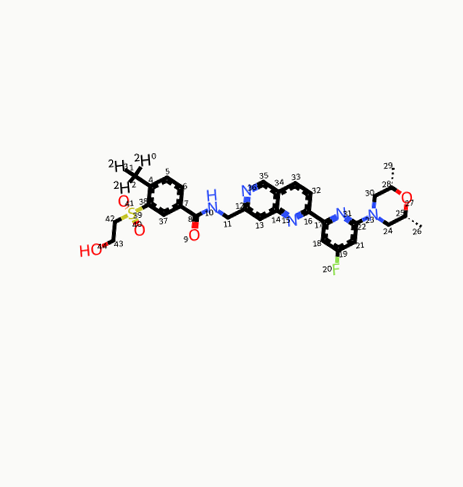 [2H]C([2H])([2H])c1ccc(C(=O)NCc2cc3nc(-c4cc(F)cc(N5C[C@@H](C)O[C@@H](C)C5)n4)ccc3cn2)cc1S(=O)(=O)CCO